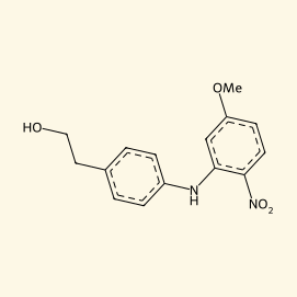 COc1ccc([N+](=O)[O-])c(Nc2ccc(CCO)cc2)c1